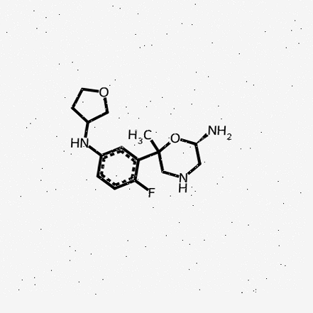 CC1(c2cc(NC3CCOC3)ccc2F)CNC[C@H](N)O1